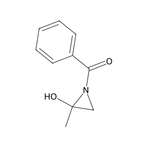 CC1(O)CN1C(=O)c1ccccc1